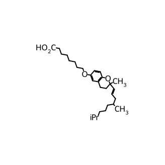 CC(C)CCCC(C)CC=CC1(C)CCc2cc(OCCCCCCCC(=O)O)ccc2O1